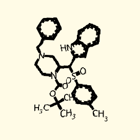 Cc1ccc(S(=O)(=O)C(c2cc3ccccc3[nH]2)C2CN(Cc3ccccc3)CCN2C(=O)OC(C)(C)C)cc1